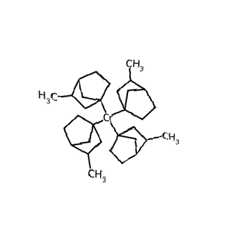 CC1C[C]2([Cr]([C]34CCC(C3)C(C)C4)([C]34CCC(C3)C(C)C4)[C]34CCC(C3)C(C)C4)CCC1C2